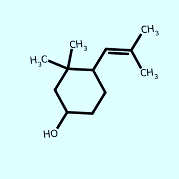 CC(C)=CC1CCC(O)CC1(C)C